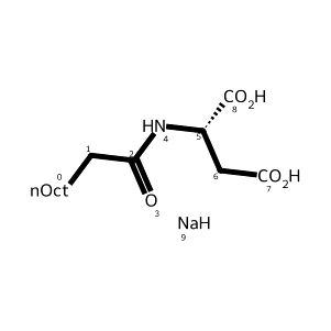 CCCCCCCCCC(=O)N[C@@H](CC(=O)O)C(=O)O.[NaH]